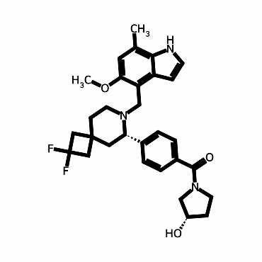 COc1cc(C)c2[nH]ccc2c1CN1CCC2(C[C@H]1c1ccc(C(=O)N3CC[C@H](O)C3)cc1)CC(F)(F)C2